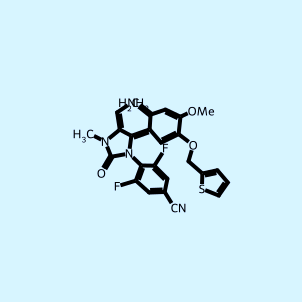 C=c1cc(OC)c(OCc2cccs2)c/c1=c1/c(=C\N)n(C)c(=O)n1-c1c(F)cc(C#N)cc1F